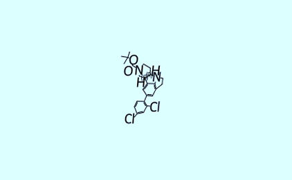 CC(C)(C)OC(=O)N1CC[C@@H]2[C@H](C1)c1cc(-c3ccc(Cl)cc3Cl)cc3c1N2CC3